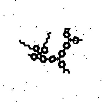 CCCCCCc1cccc(C2(c3cccc(CCCCCC)c3)c3cc(C)ccc3-c3ccc(-c4ccc(N(c5ccc(-c6ccc(N(c7ccc(C)cc7)c7ccc8c(c7)CC8)cc6)cc5)c5ccc(C(C)CC)cc5)cc4)cc32)c1